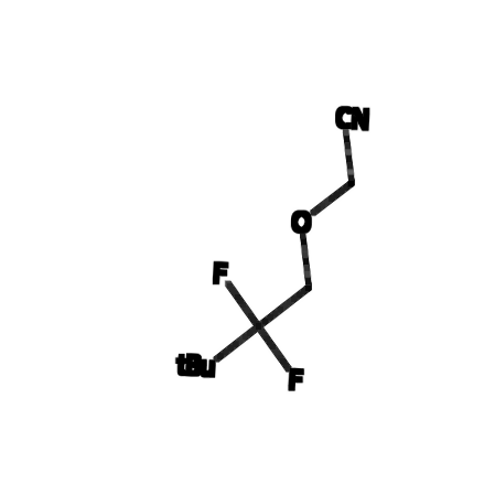 CC(C)(C)C(F)(F)COCC#N